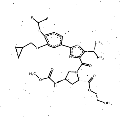 COC(=O)N[C@@H]1C[C@@H](C(=O)OCCO)N(C(=O)c2nc(-c3ccc(OC(F)F)c(OCC4CC4)c3)oc2[C@H](C)N)C1